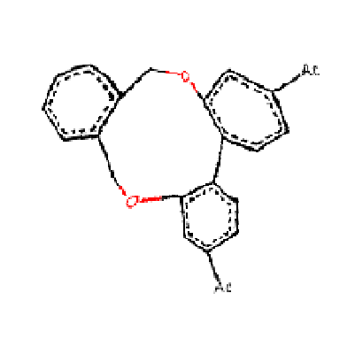 CC(=O)c1ccc2c(c1)OCc1ccccc1COc1cc(C(C)=O)ccc1-2